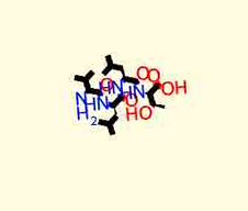 CC(C)C[C@H](NC(=O)[C@H](CC(C)C)NC(=O)[C@@H](N)C(C)C)C(=O)N[C@H](C(=O)O)[C@@H](C)O